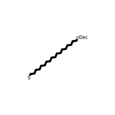 CCCCCCCCCCCCCCCCCCCCCCCCCCCC[S]